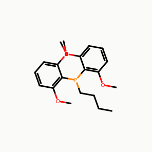 CCCCP(c1c(OC)cccc1OC)c1c(OC)cccc1OC